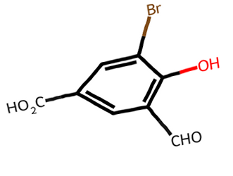 O=Cc1cc(C(=O)O)cc(Br)c1O